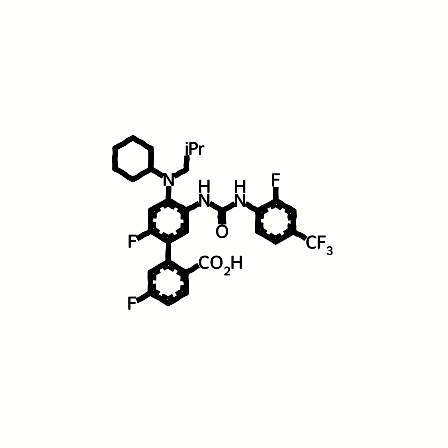 CC(C)CN(c1cc(F)c(-c2cc(F)ccc2C(=O)O)cc1NC(=O)Nc1ccc(C(F)(F)F)cc1F)C1CCCCC1